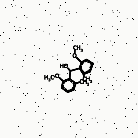 COc1cccc(C)c1C(O)c1c(C)cccc1OC